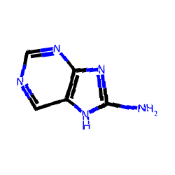 Nc1nc2ncn[c]c2[nH]1